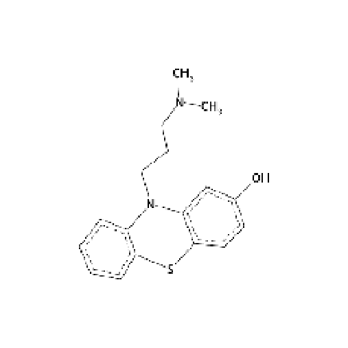 CN(C)CCCN1c2ccccc2Sc2ccc(O)cc21